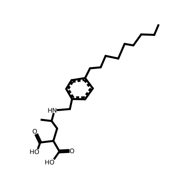 CCCCCCCCCc1ccc(CNC(C)CC(C(=O)O)C(=O)O)cc1